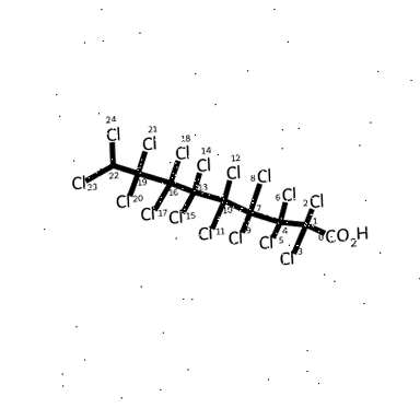 O=C(O)C(Cl)(Cl)C(Cl)(Cl)C(Cl)(Cl)C(Cl)(Cl)C(Cl)(Cl)C(Cl)(Cl)C(Cl)(Cl)C(Cl)Cl